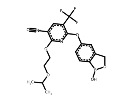 [C-]#[N+]c1cc(C(F)(F)F)c(Oc2ccc3c(c2)COB3O)nc1OCCOC(C)C